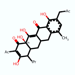 CC(=O)Cc1cc(C)c2c(c1O)C(=O)C1=C(O)[C@@]3(O)C(=O)C(C(C)=O)=C(O)C(C(C)C)C3CC1C2